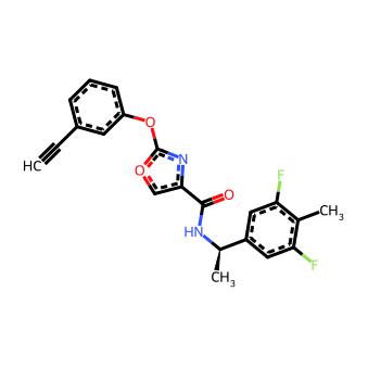 C#Cc1cccc(Oc2nc(C(=O)N[C@H](C)c3cc(F)c(C)c(F)c3)co2)c1